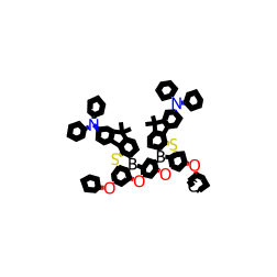 CC1(C)c2cc(N(c3ccccc3)c3ccccc3)ccc2-c2c1ccc1c2Sc2cc(Oc3ccccc3)cc3c2B1c1cc2c(cc1O3)Oc1cc(Oc3ccccc3)cc3c1B2c1ccc2c(c1S3)-c1ccc(N(c3ccccc3)c3ccccc3)cc1C2(C)C